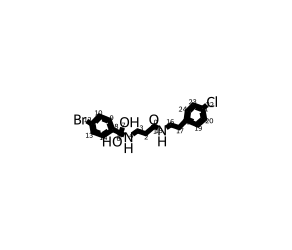 O=C(CCNC(O)(O)c1ccc(Br)cc1)NCCc1ccc(Cl)cc1